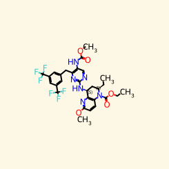 CCOC(=O)N1c2ccc(OC)nc2[C@@H](Nc2ncc(NC(=O)OC)c(Cc3cc(C(F)(F)F)cc(C(F)(F)F)c3)n2)C[C@H]1CC